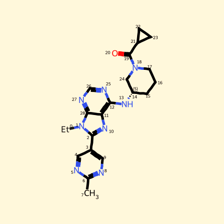 CCn1c(-c2cnc(C)nc2)nc2c(N[C@H]3CCCN(C(=O)C4CC4)C3)ncnc21